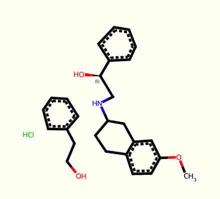 COc1ccc2c(c1)CC(NC[C@@H](O)c1ccccc1)CC2.Cl.OCCc1ccccc1